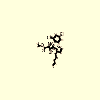 C=CCCCc1cc[se]c1-c1c(Br)c(C(=O)OCC)nn1-c1ccc(Cl)cc1Cl